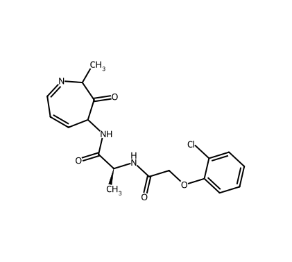 CC1N=CC=CC(NC(=O)[C@H](C)NC(=O)COc2ccccc2Cl)C1=O